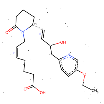 CCOc1ccc(CC(O)/C=C/[C@H]2CCCC(=O)N2C/C=C\CCCC(=O)O)nc1